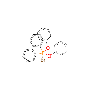 BrP(Oc1ccccc1)(Oc1ccccc1)(c1ccccc1)c1ccccc1